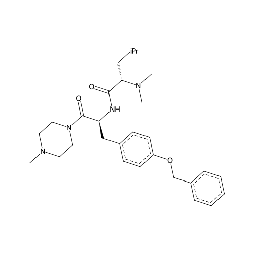 CC(C)C[C@@H](C(=O)N[C@@H](Cc1ccc(OCc2ccccc2)cc1)C(=O)N1CCN(C)CC1)N(C)C